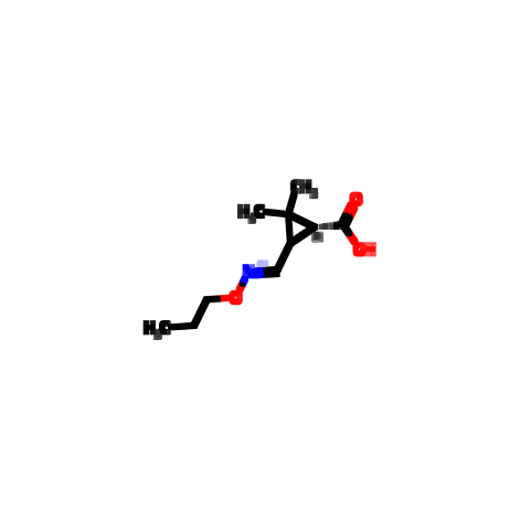 CCCO/N=C/C1[C@@H](C(=O)O)C1(C)C